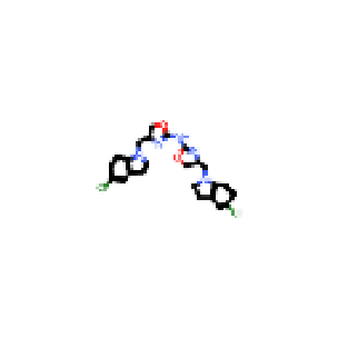 Clc1ccc2c(c1)CCN2CC1COC(NC2=NC(CN3CCc4cc(Cl)ccc43)CO2)=N1